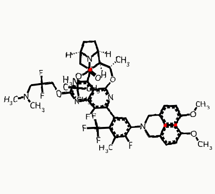 COc1ccc(CN(Cc2ccc(OC)cc2)c2cc(-c3nc4c5c(nc(OCC(F)(F)CN(C)C)nc5c3F)N3C[C@H]5CC[C@@H]([C@H]3[C@H](C)O4)N5C(=O)OC(C)(C)C)c(C(F)(F)F)c(C)c2F)cc1